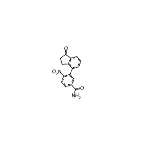 NC(=O)c1ccc([N+](=O)[O-])c(-c2cccc3c2CCC3=O)c1